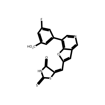 O=C1NC(=S)SC1=Cc1cc2cncc(-c3cc(F)cc(C(=O)O)c3)c2o1